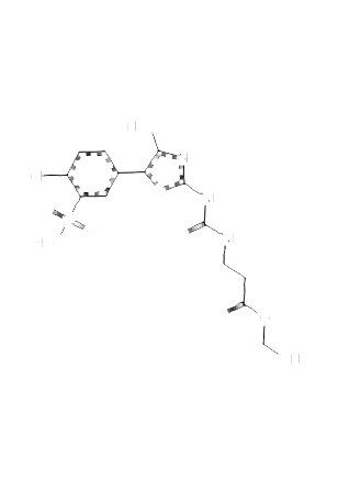 CCOC(=O)CCNC(=O)Nc1nc(C)c(-c2ccc(Cl)c(S(C)(=O)=O)c2)s1